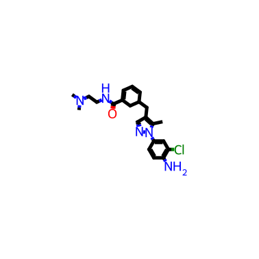 Cc1c(CC2C=CC=C(C(=O)NCCN(C)C)C2)cnn1-c1ccc(N)c(Cl)c1